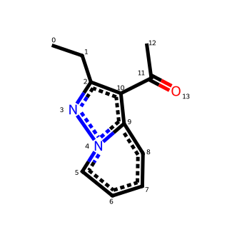 CCc1nn2ccccc2c1C(C)=O